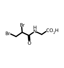 O=C(O)CNC(=O)C(Br)CBr